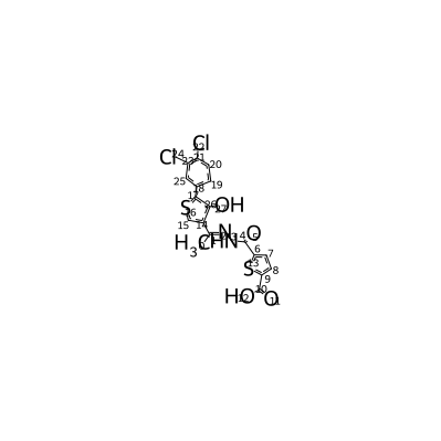 CC(=NNC(=O)c1ccc(C(=O)O)s1)c1csc(-c2ccc(Cl)c(Cl)c2)c1O